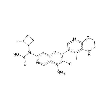 Cc1c(-c2cc3cc(N(C(=O)O)[C@H]4CC[C@H]4C)ncc3c(N)c2F)cnc2c1NCCO2